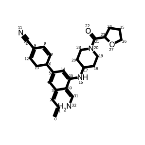 C=C/C=c1/cc(C2C=CC(C#N)=CC2)cc(NC2CCN(C(=O)C3CCCO3)CC2)/c1=C/N